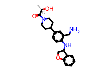 C[C@H](O)C(=O)N1CCC(c2ccc(NC3COc4ccccc43)c(CN)c2)CC1